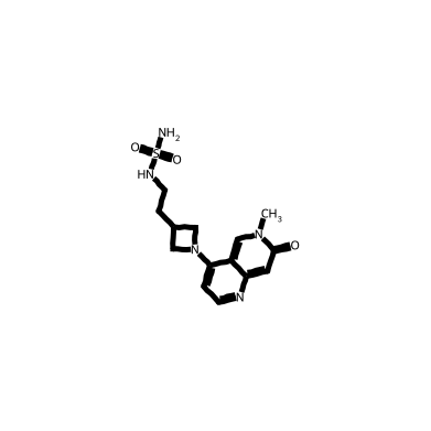 Cn1cc2c(N3CC(CCNS(N)(=O)=O)C3)ccnc2cc1=O